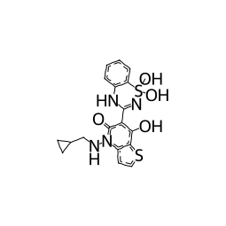 O=c1c(C2=NS(O)(O)c3ccccc3N2)c(O)c2sccc2n1NCC1CC1